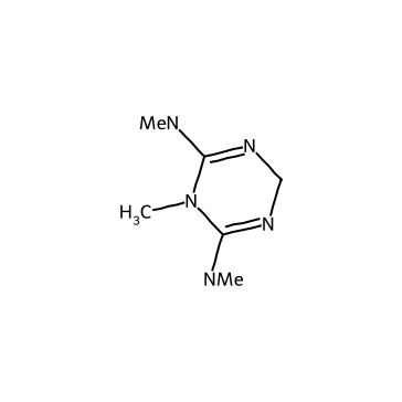 CNC1=NCN=C(NC)N1C